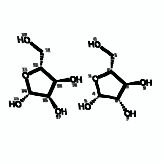 OC[C@H]1O[C@@H](O)[C@@H](O)[C@@H]1O.OC[C@H]1O[C@@H](O)[C@H](O)[C@@H]1O